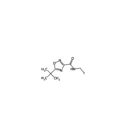 CC(C)(C)c1nc(C(=O)NCI)no1